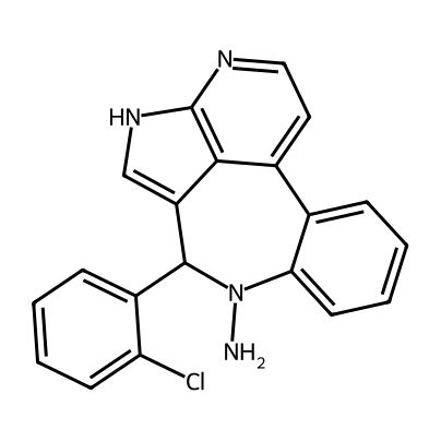 NN1c2ccccc2-c2ccnc3[nH]cc(c23)C1c1ccccc1Cl